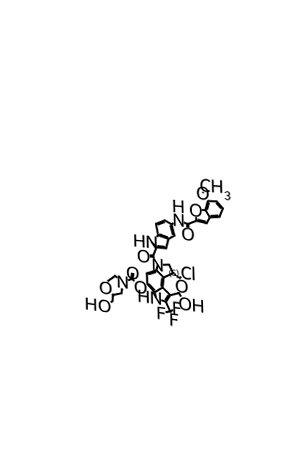 COc1cccc2cc(C(=O)Nc3ccc4[nH]c(C(=O)N5C[C@@H](CCl)c6c5cc(OC(=O)N5CCOC(CO)C5)c5[nH]c(C(F)(F)F)c(C(=O)O)c65)cc4c3)oc12